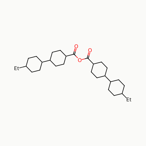 CCC1CCC(C2CCC(C(=O)OC(=O)C3CCC(C4CCC(CC)CC4)CC3)CC2)CC1